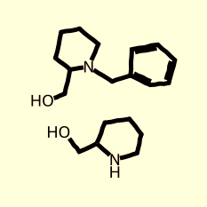 OCC1CCCCN1.OCC1CCCCN1Cc1ccccc1